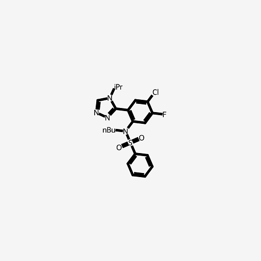 CCCCN(c1cc(F)c(Cl)cc1-c1nncn1C(C)C)S(=O)(=O)c1ccccc1